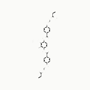 C=CC(=O)OCOc1ccc(C(=O)Oc2ccc(OC(=O)c3ccc(OCOC(=O)C=C)cc3)c(C(F)(F)F)c2C)cc1